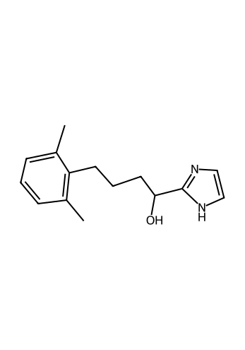 Cc1cccc(C)c1CCCC(O)c1ncc[nH]1